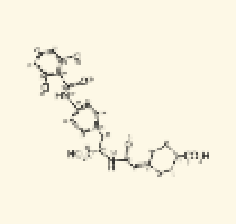 O=C(C=C1CCC(C(=O)O)CC1)N[C@@H](Cc1ccc(NC(=O)c2c(Cl)cccc2Cl)cc1)C(=O)O